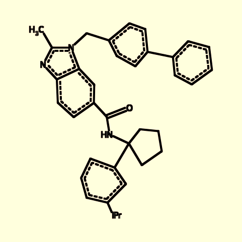 Cc1nc2ccc(C(=O)NC3(c4cccc(C(C)C)c4)CCCC3)cc2n1Cc1ccc(-c2ccccc2)cc1